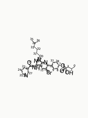 CCCP(=O)(O)Oc1ccc(-c2nc3c(cc2Br)c(NC(=O)c2cccnc2)nn3CCCCC(C)C)cc1